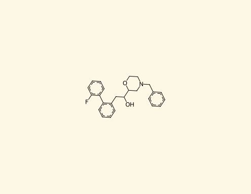 OC(Cc1ccccc1-c1ccccc1F)C1CN(Cc2ccccc2)CCO1